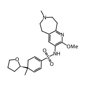 COc1nc2c(cc1NS(=O)(=O)C1=CCC(C)([C@H]3CCCO3)C=C1)CCN(C)CC2